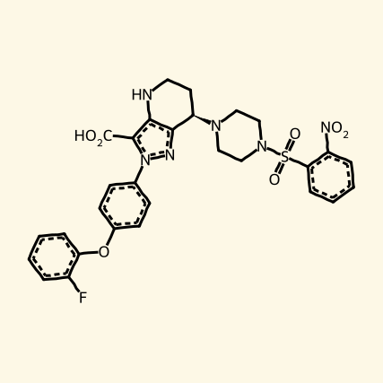 O=C(O)c1c2c(nn1-c1ccc(Oc3ccccc3F)cc1)[C@H](N1CCN(S(=O)(=O)c3ccccc3[N+](=O)[O-])CC1)CCN2